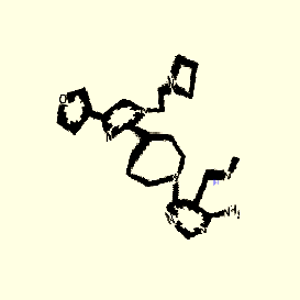 C/N=C/c1c(N)ncnc1N1CCC(c2nc(-c3ccoc3)cn2CCN2CCC2)CC1